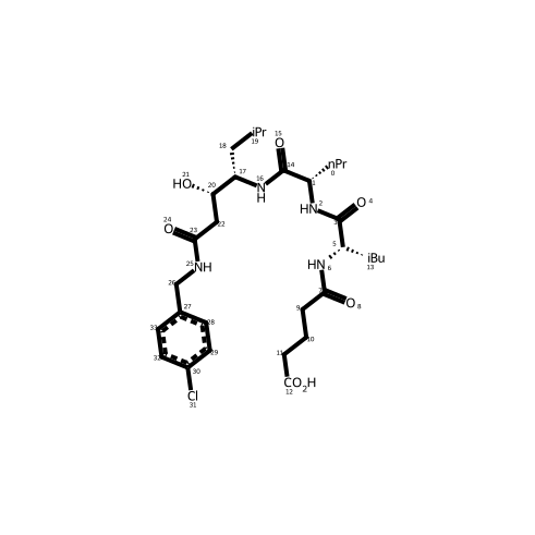 CCC[C@H](NC(=O)[C@@H](NC(=O)CCCC(=O)O)[C@@H](C)CC)C(=O)N[C@@H](CC(C)C)[C@@H](O)CC(=O)NCc1ccc(Cl)cc1